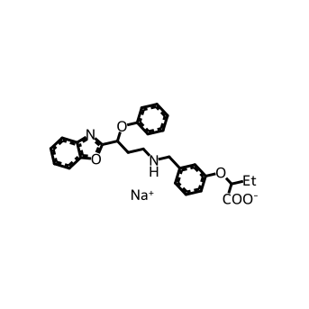 CCC(Oc1cccc(CNCCC(Oc2ccccc2)c2nc3ccccc3o2)c1)C(=O)[O-].[Na+]